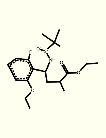 CCOC(=O)C(C)CC(N[S+]([O-])C(C)(C)C)c1c(F)cccc1OCC